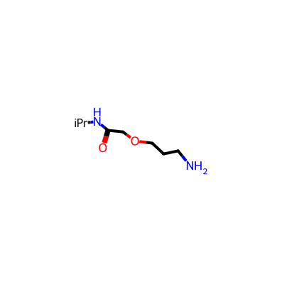 CC(C)NC(=O)COCCCN